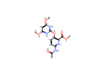 COC(=O)c1nc(NC(C)=O)ccc1Oc1nc(OC)cc(OC)n1